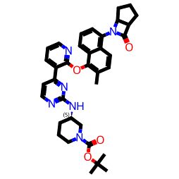 Cc1ccc2c(N3C(=O)C4CCCC43)cccc2c1Oc1ncccc1-c1ccnc(N[C@H]2CCCN(C(=O)OC(C)(C)C)C2)n1